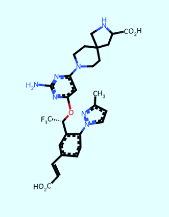 Cc1ccn(-c2ccc(/C=C/C(=O)O)cc2[C@@H](Oc2cc(N3CCC4(CC3)CNC(C(=O)O)C4)nc(N)n2)C(F)(F)F)n1